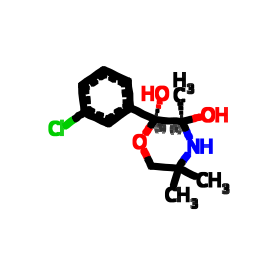 CC1(C)CO[C@@](O)(c2cccc(Cl)c2)[C@@](C)(O)N1